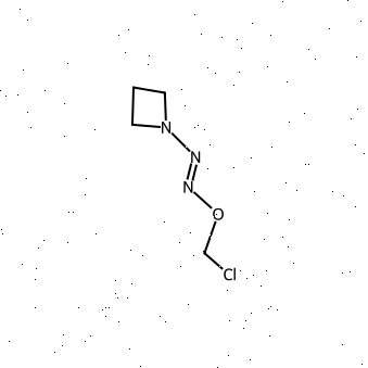 ClCO/N=N/N1CCC1